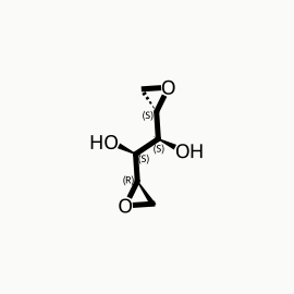 O[C@@H]([C@H](O)[C@H]1CO1)[C@@H]1CO1